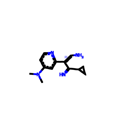 CN(C)c1ccnc(/C(=C/N)C(=N)C2CC2)c1